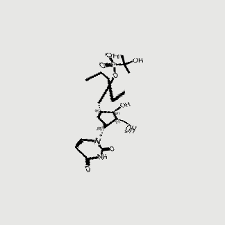 CCC(CC)(C[C@H]1C[C@@H](n2ccc(=O)[nH]c2=O)[C@H](O)[C@@H]1O)OP(=O)(O)C(C)(C)O